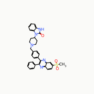 CS(=O)(=O)c1ccc2nc(-c3ccccc3)c(-c3ccc(CN4CCC(n5c(=O)[nH]c6ccccc65)CC4)cc3)nc2c1